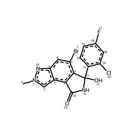 Cn1cc2c3c(c(Br)cc2n1)C(O)(c1ccc(F)cc1Cl)NC3=O